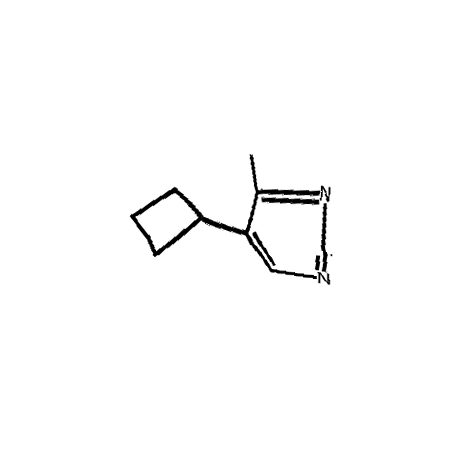 Cc1n[c]ncc1C1CCC1